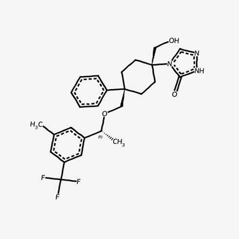 Cc1cc([C@@H](C)OC[C@]2(c3ccccc3)CC[C@@](CO)(n3cn[nH]c3=O)CC2)cc(C(F)(F)F)c1